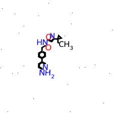 CCC1(c2cc(NC(=O)Cc3ccc(-c4ccc(N)nc4)cc3)on2)CC1